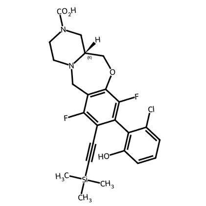 C[Si](C)(C)C#Cc1c(F)c2c(c(F)c1-c1c(O)cccc1Cl)OC[C@H]1CN(C(=O)O)CCN1C2